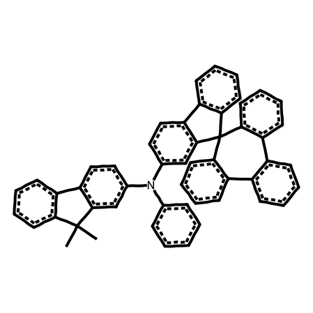 CC1(C)c2ccccc2-c2ccc(N(c3ccccc3)c3ccc4c(c3)C3(c5ccccc5-c5ccccc5-c5ccccc53)c3ccccc3-4)cc21